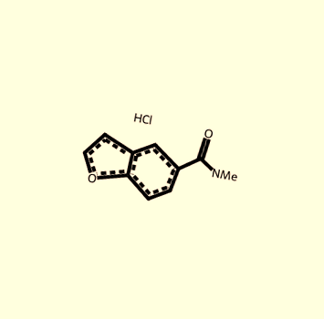 CNC(=O)c1ccc2occc2c1.Cl